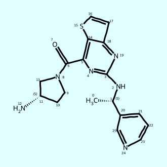 C[C@H](Nc1nc(C(=O)N2CC[C@H](N)C2)c2sccc2n1)c1cccnc1